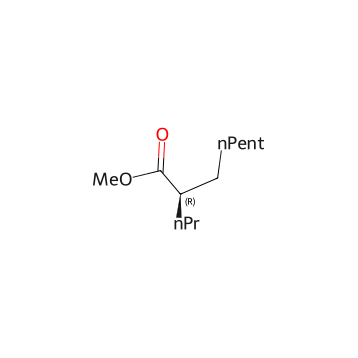 CCCCCC[C@@H](CCC)C(=O)OC